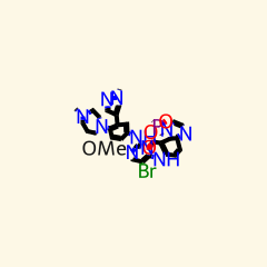 COc1cc(N2CCCN(C)CC2)c(-c2cnn(C)c2)cc1Nc1ncc(Br)c(Nc2ccc3nccnc3c2C(=O)OP(C)(C)=O)n1